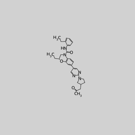 CCc1ccccc1NC(=O)N1CC(CC)Oc2cc(-c3cnc(N4CCC(CC(C)=O)C4)nc3)ccc21